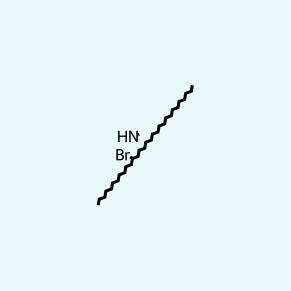 CCCCCCCCCCCCCCCCCCC(Br)CCCCCCCCCCC.CNC